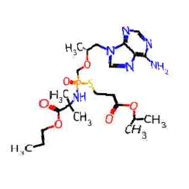 CCCOC(=O)C(C)(C)NP(=O)(CO[C@H](C)Cn1cnc2c(N)ncnc21)SCCC(=O)OC(C)C